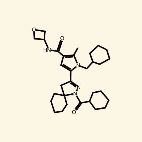 Cc1c(C(=O)NC2COC2)cc(C2=NN(C(=O)C3CCCCC3)C3(CCCCC3)C2)n1CC1CCCCC1